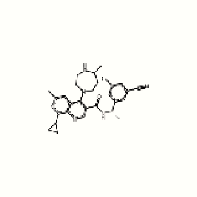 Cc1cc2c(N3CCN[C@@H](C)CC3)c(C(=O)N[C@@H](C)c3cc(Cl)cc(C#N)c3)cnc2c(C2CC2)n1